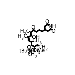 C=C[C@H](OC)[C@@H](O[Si](C)(C)C(C)(C)C)[C@H](C)/C=C(/C)C(O)[C@H](C)C(=O)CCCC1CC(=O)NC(=O)C1